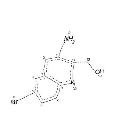 Nc1cc2cc(Br)ccc2nc1CO